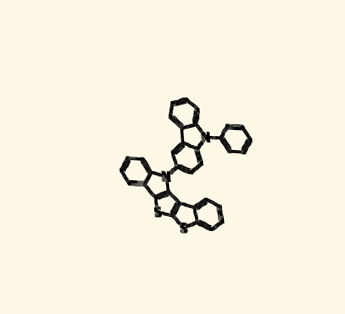 c1ccc(-n2c3ccccc3c3cc(-n4c5ccccc5c5sc6sc7ccccc7c6c54)ccc32)cc1